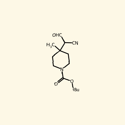 CC(C)(C)OC(=O)N1CCC(C)(C(C#N)C=O)CC1